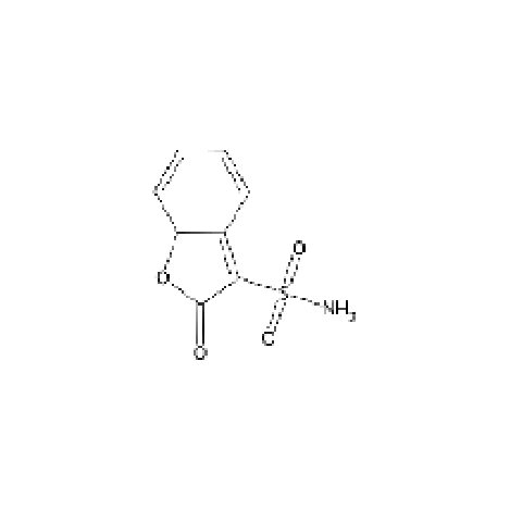 NS(=O)(=O)C1=C2C=CC=CC2OC1=O